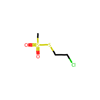 CS(=O)(=O)SCCCl